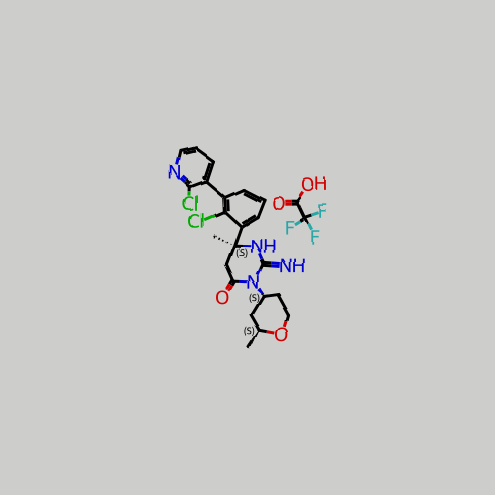 C[C@H]1C[C@@H](N2C(=N)N[C@](C)(c3cccc(-c4cccnc4Cl)c3Cl)CC2=O)CCO1.O=C(O)C(F)(F)F